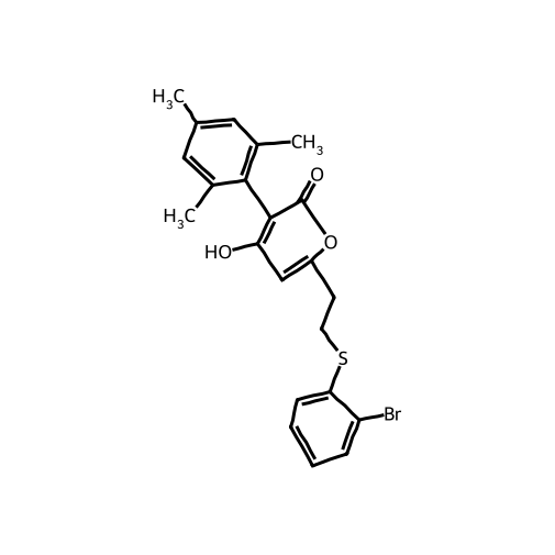 Cc1cc(C)c(-c2c(O)cc(CCSc3ccccc3Br)oc2=O)c(C)c1